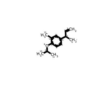 [CH2]C(C=C)c1ccc(OC(C)C)c(C)c1